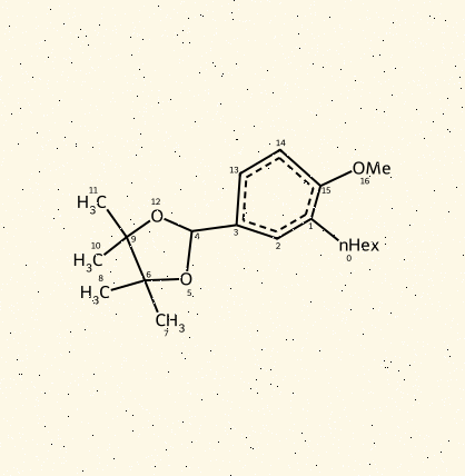 CCCCCCc1cc(C2OC(C)(C)C(C)(C)O2)ccc1OC